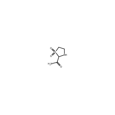 NC(=O)C1NCCS1(=O)=O